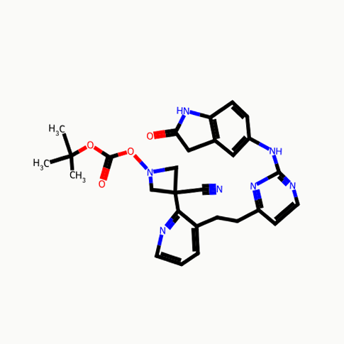 CC(C)(C)OC(=O)ON1CC(C#N)(c2ncccc2CCc2ccnc(Nc3ccc4c(c3)CC(=O)N4)n2)C1